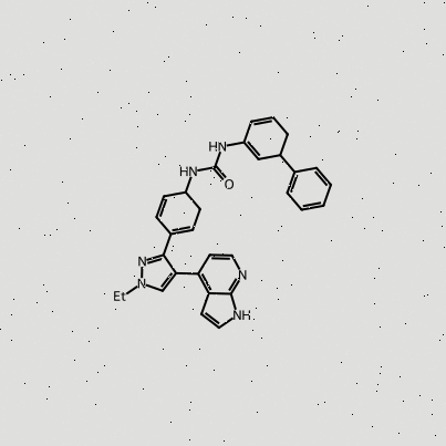 CCn1cc(-c2ccnc3[nH]ccc23)c(C2=CCC(NC(=O)NC3=CC(c4ccccc4)CC=C3)C=C2)n1